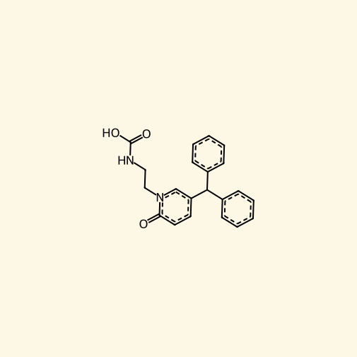 O=C(O)NCCn1cc(C(c2ccccc2)c2ccccc2)ccc1=O